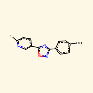 CCc1ccc(-c2nc(-c3ccc(C(=O)O)cc3)no2)cn1